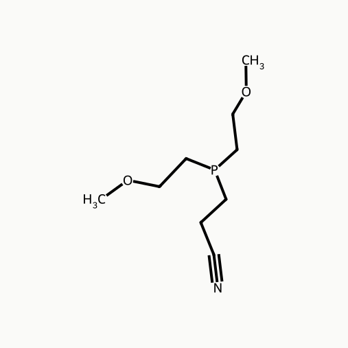 COCCP(CCC#N)CCOC